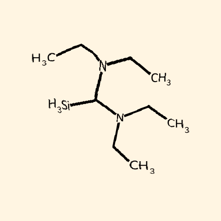 CCN(CC)C([SiH3])N(CC)CC